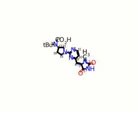 CN1C(=O)NC(=O)/C1=C/c1ccnc(N2CCC(N(C(=O)O)C(C)(C)C)C2)n1